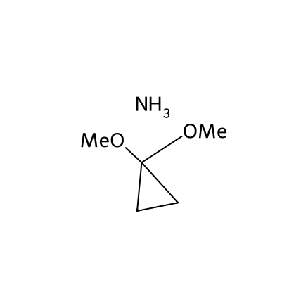 COC1(OC)CC1.N